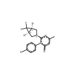 Cc1cc(=O)n(-c2ccc(Cl)cc2)c([C@H]2C[C@@H]3[C@H](C2)C3(F)F)n1